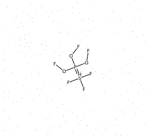 FOP(OF)(OF)=[SH](F)(F)F